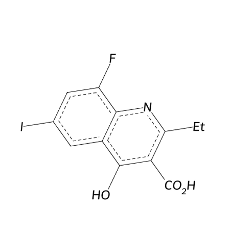 CCc1nc2c(F)cc(I)cc2c(O)c1C(=O)O